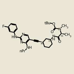 CCCNc1nc(Nc2cccc(F)c2)ncc1C#C[C@@H]1CCC[C@H](NC(=O)[C@H](C)N(C)C(=O)OC(C)(C)C)C1